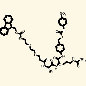 CC(C)[C@H](NC(=O)CCOCCOCCNC(=O)OCC1c2ccccc2-c2ccccc21)C(=O)N[C@@H](CCCNC(N)=O)C(=O)Nc1ccc(COC(=O)Oc2ccc([N+](=O)[O-])cc2)cc1